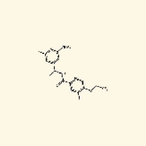 CC(=O)Nc1cc(C(C)NC(=O)c2cc(C)c(OCC(F)(F)F)cn2)cc(C)n1